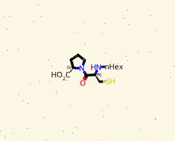 CCCCCCN[C@@H](CS)C(=O)N1CCC[C@H]1C(=O)O